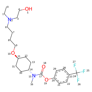 CCN(CCO)CCCCO[C@H]1CC[C@H](N(C)C(=O)Oc2ccc(C(F)(F)F)cc2)CC1